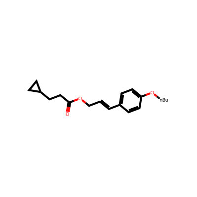 CCCCOc1ccc(C=CCOC(=O)CCC2CC2)cc1